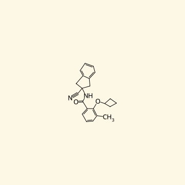 Cc1cccc(C(=O)NC2(C#N)Cc3ccccc3C2)c1OC1CCC1